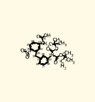 CC(C)(C)OC(=O)N(C(=O)OC(C)(C)C)c1cccc(Cc2cc(OC(=O)O)ccc2[N+](=O)[O-])c1